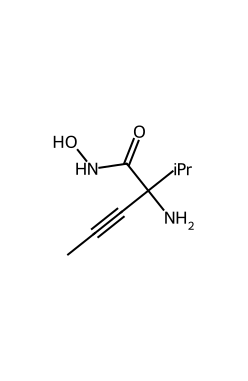 CC#CC(N)(C(=O)NO)C(C)C